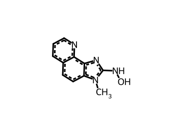 Cn1c(NO)nc2c3ncccc3ccc21